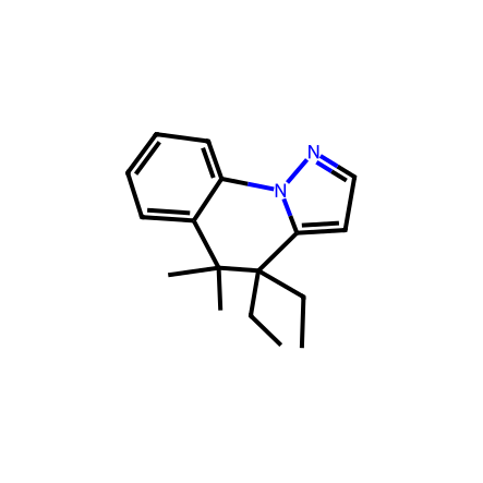 CCC1(CC)c2ccnn2-c2ccccc2C1(C)C